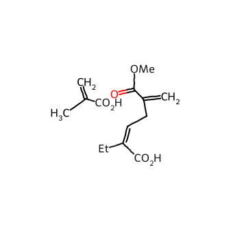 C=C(C)C(=O)O.C=C(CC=C(CC)C(=O)O)C(=O)OC